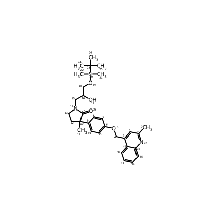 Cc1cc(COc2ccc(C3(C)CCN(CC(O)CO[Si](C)(C)C(C)(C)C)C3=O)cc2)c2ccccc2n1